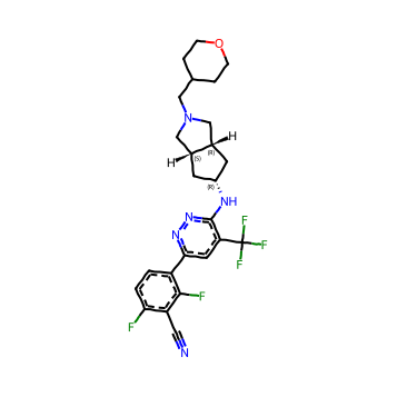 N#Cc1c(F)ccc(-c2cc(C(F)(F)F)c(N[C@@H]3C[C@@H]4CN(CC5CCOCC5)C[C@@H]4C3)nn2)c1F